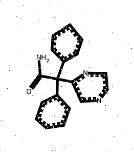 NC(=O)C(c1ccccc1)(c1ccccc1)c1cnccn1